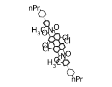 CCC[C@H]1CC[C@H](c2ccc(N3C(=O)c4cc(Cl)c5c6c(Cl)cc7c8c(cc(Cl)c(c9c(Cl)cc(c4c59)C3=O)c86)C(=O)N(c3ccc([C@H]4CC[C@H](CCC)CC4)cc3C)C7=O)c(C)c2)CC1